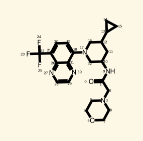 O=C(CN1CCOCC1)NC1CC(C2CC2)CN(c2ccc(C(F)(F)F)c3nccnc23)C1